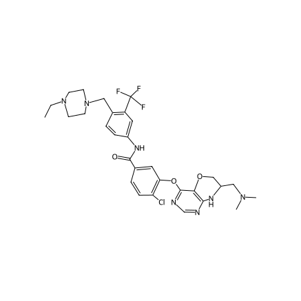 CCN1CCN(Cc2ccc(NC(=O)c3ccc(Cl)c(Oc4ncnc5c4OCC(CN(C)C)N5)c3)cc2C(F)(F)F)CC1